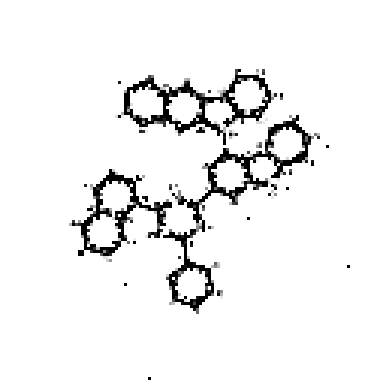 c1ccc(-c2nc(-c3cc(-n4c5ccccc5c5cc6ccccc6cc54)c4c(c3)sc3ccccc34)nc(-c3cccc4ccccc34)n2)cc1